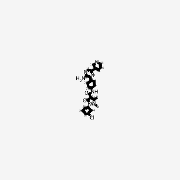 Cc1c(C(=O)Nc2ccc(-c3nc(-c4cccnc4)cnc3N)cc2)c(=O)n(-c2cccc(Cl)c2)n1C